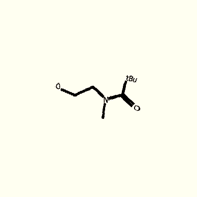 CN(CC[O])C(=O)C(C)(C)C